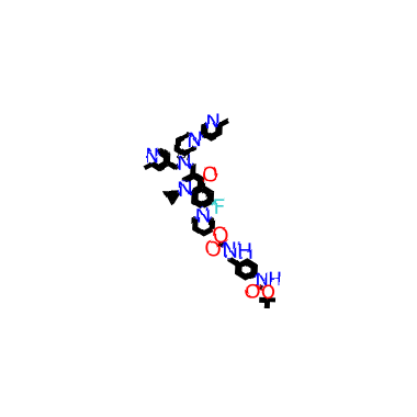 Cc1ccc(N2CCC[C@H](N(Cc3ccnc(C)c3)Cc3cn(C4CC4)c4cc(N5CCCC(OC(=O)NCc6ccc(NC(=O)OC(C)(C)C)cc6)C5)c(F)cc4c3=O)C2)cn1